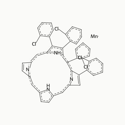 Clc1ccccc1C1=Cc2cc3ccc(cc4nc(cc5[nH]c(c(-c6ccccc6Cl)c1n2)c(-c1ccccc1Cl)c5-c1ccccc1Cl)C=C4)[nH]3.[Mn]